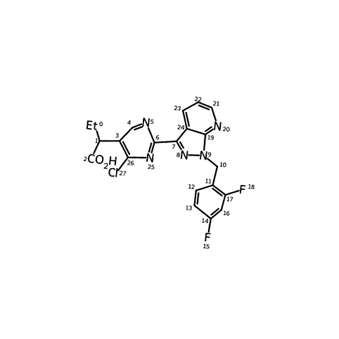 CCC(C(=O)O)c1cnc(-c2nn(Cc3ccc(F)cc3F)c3ncccc23)nc1Cl